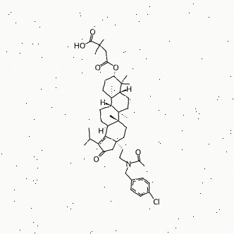 CC(=O)N(CC[C@@]12CC[C@]3(C)[C@H](CC[C@@H]4[C@@]5(C)CC[C@H](OC(=O)CC(C)(C)C(=O)O)C(C)(C)[C@@H]5CC[C@]43C)C1=C(C(C)C)C(=O)C2)Cc1ccc(Cl)cc1